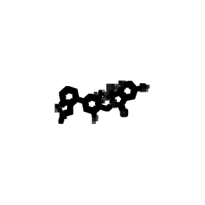 BC1(B)c2ncc(Br)cc2C(=O)N1Cc1c(F)cc(-c2cccc3nn(C)cc23)cc1F